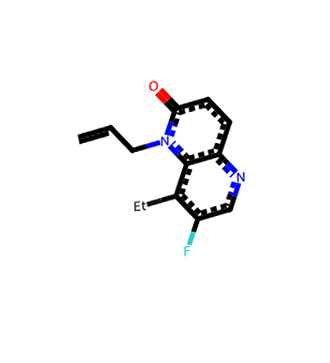 C=CCn1c(=O)ccc2ncc(F)c(CC)c21